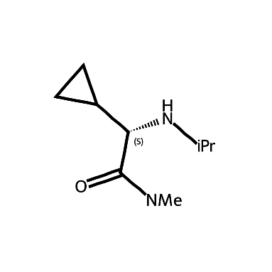 CNC(=O)[C@@H](NC(C)C)C1CC1